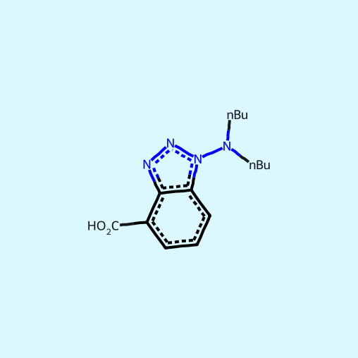 CCCCN(CCCC)n1nnc2c(C(=O)O)cccc21